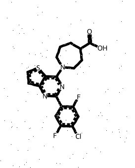 O=C(O)C1CCCN(c2nc(-c3cc(F)c(Cl)cc3F)nc3ccsc23)CC1